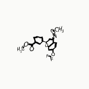 CON=C1C[C@H](c2cccc(C(=O)OC)c2)Oc2cc(OC(F)F)ccc21